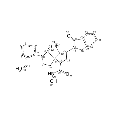 C=Cc1ccccc1N1CCC(CC(C)C)(C(CCN2Cc3ccccc3C2=O)C(=O)NO)C1=O